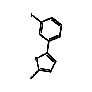 Cc1ccc(-c2cccc(I)c2)s1